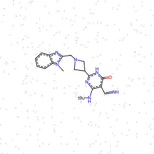 Cn1c(CN2CC(c3nc(NC(C)(C)C)c(C=N)c(=O)[nH]3)C2)nc2ccccc21